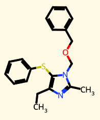 CCc1nc(C)n(COCc2ccccc2)c1Sc1ccccc1